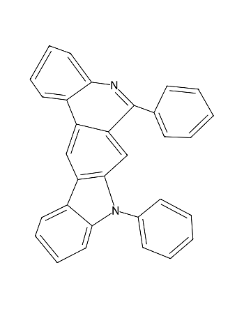 c1ccc(-c2nc3ccccc3c3cc4c5ccccc5n(-c5ccccc5)c4cc23)cc1